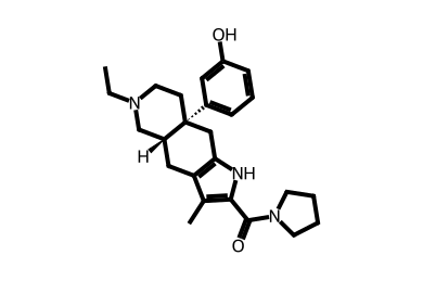 CCN1CC[C@@]2(c3cccc(O)c3)Cc3[nH]c(C(=O)N4CCCC4)c(C)c3C[C@@H]2C1